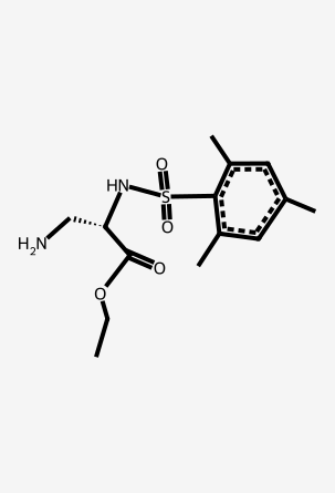 CCOC(=O)[C@H](CN)NS(=O)(=O)c1c(C)cc(C)cc1C